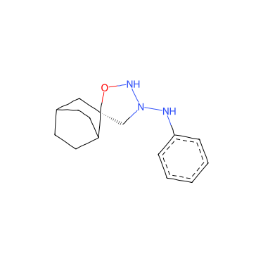 c1ccc(NN2C[C@]3(CC4CCC3CC4)ON2)cc1